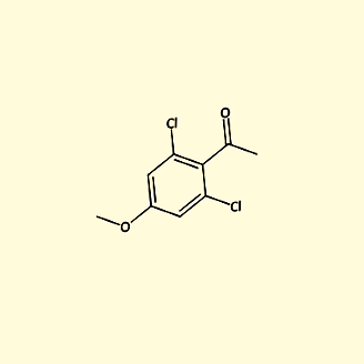 COc1cc(Cl)c(C(C)=O)c(Cl)c1